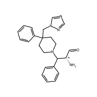 N[C@@H](C=O)C(c1ccccc1)N1CCC(Cn2cncn2)(c2ccccc2)CC1